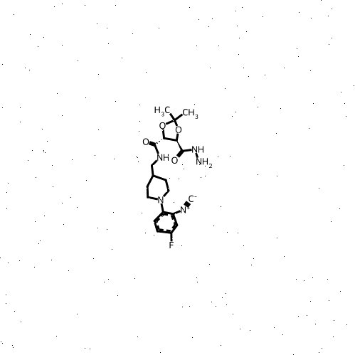 [C-]#[N+]c1cc(F)ccc1N1CCC(CNC(=O)[C@@H]2OC(C)(C)O[C@H]2C(=O)NN)CC1